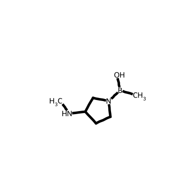 CNC1CCN(B(C)O)C1